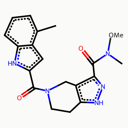 CON(C)C(=O)c1n[nH]c2c1CN(C(=O)c1cc3c(C)cccc3[nH]1)CC2